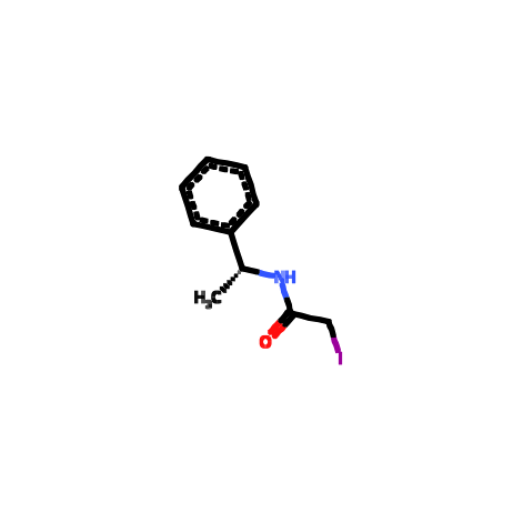 C[C@@H](NC(=O)CI)c1ccccc1